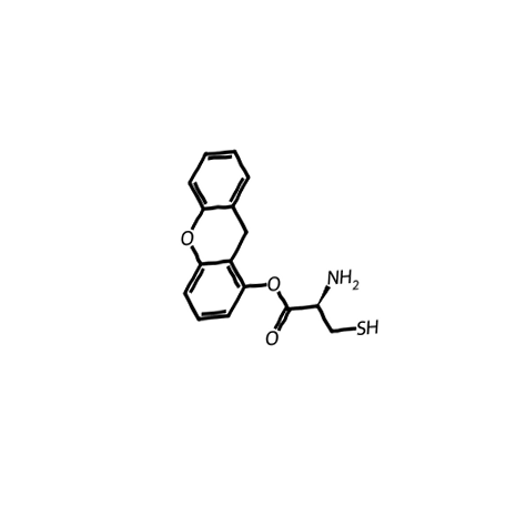 N[C@@H](CS)C(=O)Oc1cccc2c1Cc1ccccc1O2